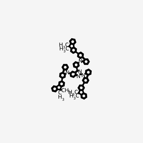 CC1(C)c2ccccc2-c2cc(-c3ccc4c5ccccc5n(-c5cccc(-c6nc(-n7c8ccccc8c8ccc(-c9ccc%10c(c9)-c9ccccc9C%10(C)C)cc87)nc7ccc(-n8c9ccccc9c9ccc(-c%10ccc%11c(c%10)-c%10ccccc%10C%11(C)C)cc98)cc67)c5)c4c3)ccc21